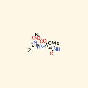 COC(=O)[C@H](C[C@@H]1CCNC1=O)NC(=O)[C@@H]1CC(C23CC(C2)C3)CN1C(=O)OC(C)(C)C